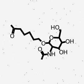 CC(=O)CCCCCOC1OC(CO)C(O)C(O)C1NC(C)=O